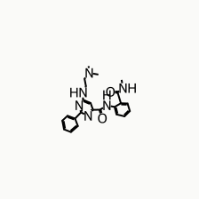 CNC(=O)c1ccccc1NC(=O)c1cc(NCCN(C)C)nc(-c2ccccc2)n1